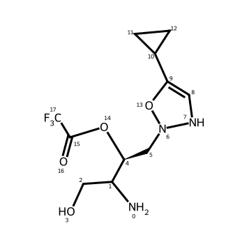 NC(CO)[C@H](CN1NC=C(C2CC2)O1)OC(=O)C(F)(F)F